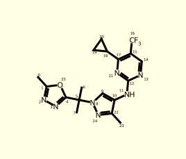 Cc1nnc(C(C)(C)n2cc(Nc3ncc(C(F)(F)F)c(C4CC4)n3)c(C)n2)o1